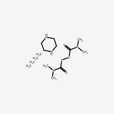 C1CNCCN1.CN(C)C(=S)SSC(=S)N(C)C.S.S.S.S